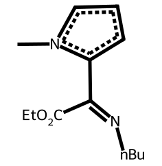 CCCCN=C(C(=O)OCC)c1cccn1C